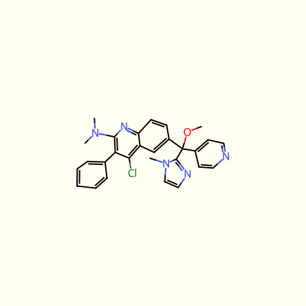 COC(c1ccncc1)(c1ccc2nc(N(C)C)c(-c3ccccc3)c(Cl)c2c1)c1nccn1C